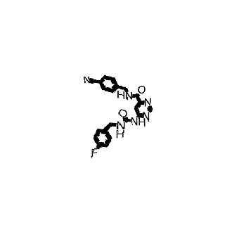 N#Cc1ccc(CNC(=O)c2cc(NC(=O)NCc3ccc(F)cc3)ncn2)cc1